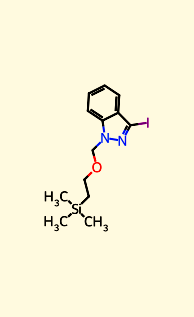 C[Si](C)(C)CCOCn1nc(I)c2ccccc21